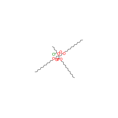 CCCCCCCCCCCCOC(=O)CC(CC(=O)OCCCCCCCCCCCC)(OC(Cl)CCCC)C(=O)OCCCCCCCCCCCC